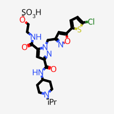 CC(C)N1CCC(NC(=O)c2cc(C(=O)NCCOS(=O)(=O)O)n(Cc3cc(-c4ccc(Cl)s4)on3)n2)CC1